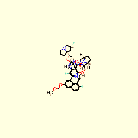 C#Cc1c(F)ccc2cc(OCOC)cc(-c3nc4c5c(nc(OC[C@]67CCCN6C[C@H](F)C7)nc5c3F)N3C[C@H]5CC[C@@H]([C@@H]3CO4)N5C(=O)OC(C)(C)C)c12